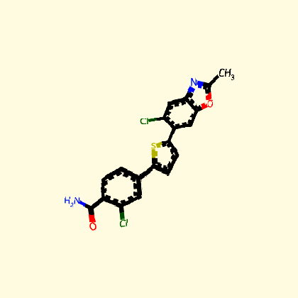 Cc1nc2cc(Cl)c(-c3ccc(-c4ccc(C(N)=O)c(Cl)c4)s3)cc2o1